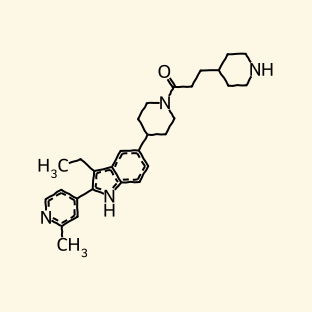 CCc1c(-c2ccnc(C)c2)[nH]c2ccc(C3CCN(C(=O)CCC4CCNCC4)CC3)cc12